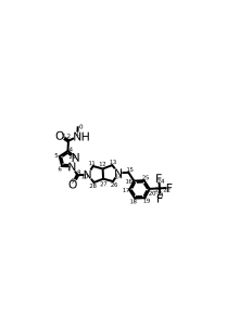 CNC(=O)c1ccn(C(=O)N2CC3CN(Cc4cccc(C(F)(F)F)c4)CC3C2)n1